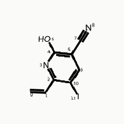 C=Cc1nc(O)c(C#N)cc1I